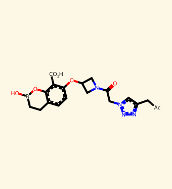 CC(=O)Cc1cn(CC(=O)N2CC(Oc3ccc4c(c3C(=O)O)OB(O)CC4)C2)nn1